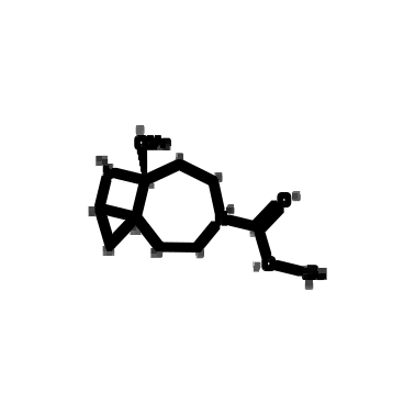 CO[C@]12CCN(C(=O)OC(C)(C)C)CCC13CC3S2